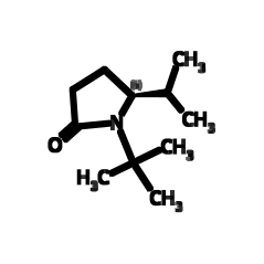 CC(C)[C@@H]1CCC(=O)N1C(C)(C)C